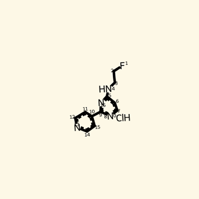 Cl.FCCNc1ccnc(-c2ccncc2)n1